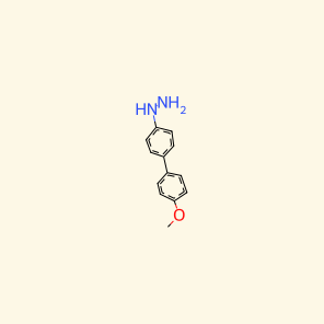 COc1ccc(-c2ccc(NN)cc2)cc1